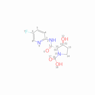 O=C(Nc1ccc(F)cn1)[C@@H]1[C@@H](O)CCN1C(=O)O